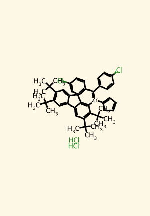 CC(C)(C)c1cc2c(cc1C(C)(C)C)-c1cc(C(C)(C)C)c(C(C)(C)C)[c]([Zr]([C]3=CC=CC3)=[C](c3ccc(Cl)cc3)c3ccc(Cl)cc3)c1C2.Cl.Cl